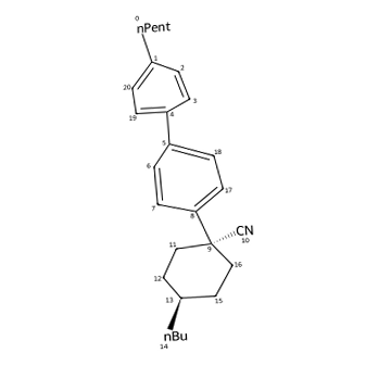 CCCCCc1ccc(-c2ccc([C@]3(C#N)CC[C@H](CCCC)CC3)cc2)cc1